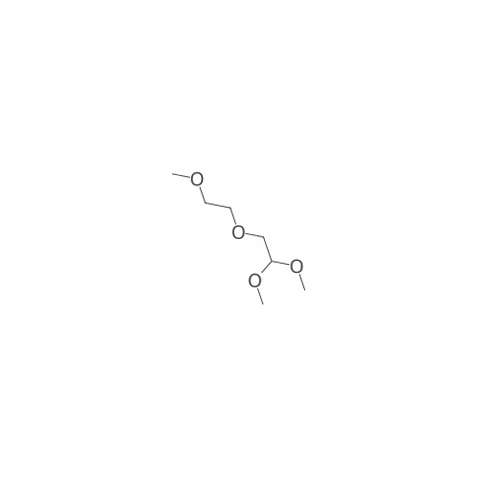 COCCOCC(OC)OC